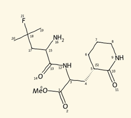 COC(=O)C(C[C@@H]1CCCNC1=O)NC(=O)C(N)CC(C)(C)F